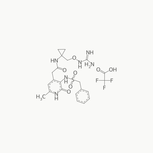 Cc1cc(CC(=O)NC2(CONC(=N)N)CC2)c(NS(=O)(=O)Cc2ccccc2)c(=O)[nH]1.O=C(O)C(F)(F)F